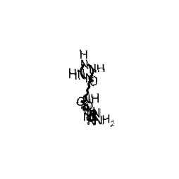 Nc1ncnc2c1ncn2[C@H]1CC[C@@H](C(=O)NCCCCCC(=O)N2CCNCCNCCNCC2)O1